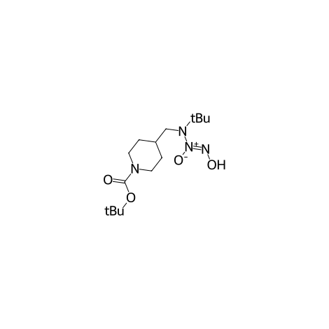 CC(C)(C)OC(=O)N1CCC(CN([N+]([O-])=NO)C(C)(C)C)CC1